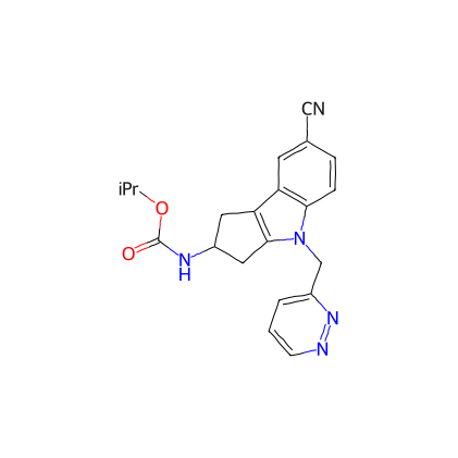 CC(C)OC(=O)NC1Cc2c(n(Cc3cccnn3)c3ccc(C#N)cc23)C1